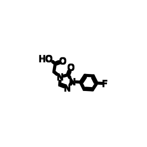 O=C(O)Cn1cnn(-c2ccc(F)cc2)c1=O